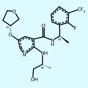 C[C@H](CO)Nc1ncc(O[C@@H]2CCOC2)cc1C(=O)N[C@H](C)c1cccc(C(F)(F)F)c1F